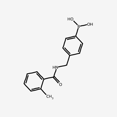 Cc1ccccc1C(=O)NCc1ccc(B(O)O)cc1